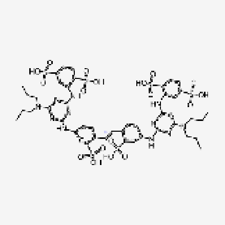 CCCN(CCC)c1nc(Nc2ccc(/C=C/c3ccc(Nc4nc(Nc5cc(S(=O)(=O)O)ccc5S(=O)(=O)O)nc(N(CCC)CCC)n4)cc3S(=O)(=O)O)c(S(=O)(=O)O)c2)nc(Nc2cc(S(=O)(=O)O)ccc2S(=O)(=O)O)n1